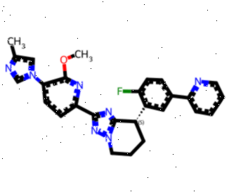 COc1nc(-c2nc3n(n2)CCC[C@H]3c2cc(-c3ccccn3)ccc2F)ccc1-n1cnc(C)c1